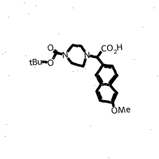 COc1ccc2cc(C(C(=O)O)N3CCN(C(=O)OC(C)(C)C)CC3)ccc2c1